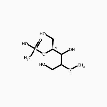 CNC(CO)C(O)[C@H](CO)OP(C)(=O)O